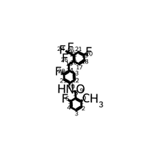 Cc1cccc(F)c1C(=O)Nc1ccc(Cc2ccc(F)cc2C(F)(F)F)c(F)c1